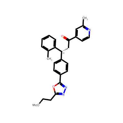 COCCc1nnc(-c2ccc([C@@H](CC(=O)c3ccnc(C)c3)c3ccccc3C)cc2)o1